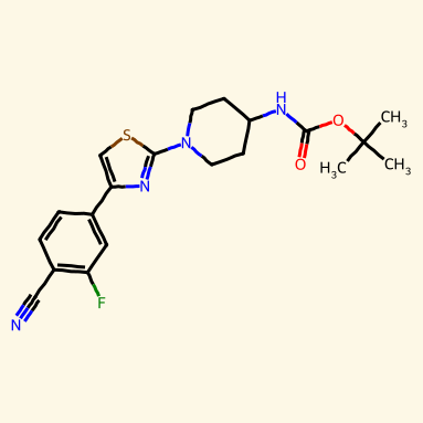 CC(C)(C)OC(=O)NC1CCN(c2nc(-c3ccc(C#N)c(F)c3)cs2)CC1